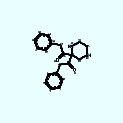 O=C(Cc1ccccc1)C1(C(=O)Cc2ccccc2)CNCCN1